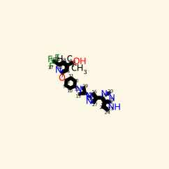 CC(C)(O)c1cc(O[C@H]2CC[C@@H](N3C[C](n4cc(-c5ncnc6[nH]ccc56)cn4)C3)CC2)nc(C(F)(F)F)c1